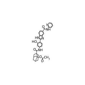 CC(=O)OC12CC3CC(C1)CC(C(=O)Nc1ccc(-c4nc5cc(C(=O)Nc6ccccn6)ccc5[nH]4)c(O)c1)(C3)C2